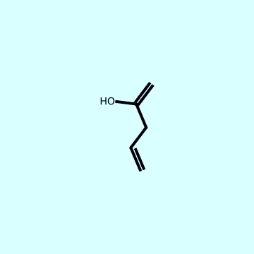 C=CCC(=C)O